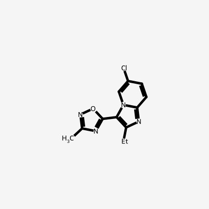 CCc1nc2ccc(Cl)cn2c1-c1nc(C)no1